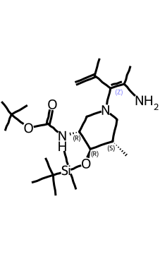 C=C(C)/C(=C(\C)N)N1C[C@H](C)[C@@H](O[Si](C)(C)C(C)(C)C)[C@H](NC(=O)OC(C)(C)C)C1